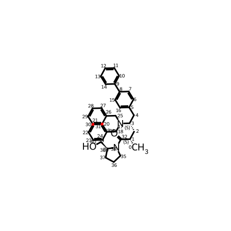 C[C@@H](C[C@@H](Cc1ccc(-c2ccccc2)cc1)N(Cc1ccccc1)Cc1ccccc1)C(=O)N1CCC[C@H]1CO